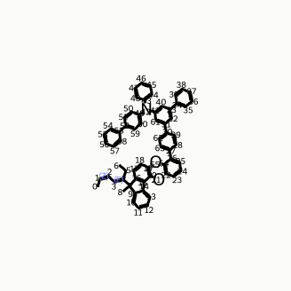 C/C=C\C=C(/CC)C1(C)c2ccccc2-c2c1ccc1c2Oc2cccc(-c3ccc(-c4cc(-c5ccccc5)cc(N(c5ccccc5)c5ccc(-c6ccccc6)cc5)c4)cc3)c2O1